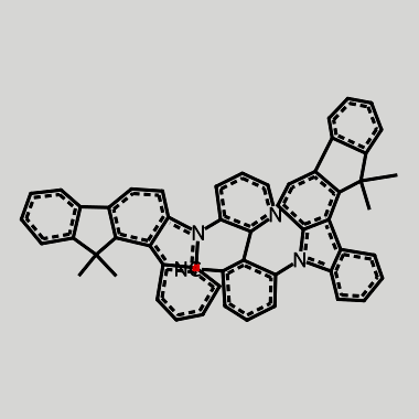 CC1(C)c2ccccc2-c2ccc3c(c21)c1ccccc1n3-c1cccnc1-c1c(C#N)cccc1-n1c2ccccc2c2c3c(ccc21)-c1ccccc1C3(C)C